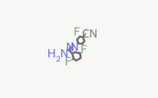 N#Cc1cc(F)c(-n2nc(N)c3c(F)cccc32)cc1F